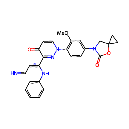 COc1cc(N2CC3(CC3)OC2=O)ccc1-n1ccc(=O)c(/C(=C/C=N)Nc2ccccc2)n1